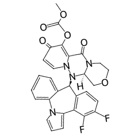 COC(=O)Oc1c2n(ccc1=O)N([C@@H]1c3ccccc3-n3cccc3-c3c1ccc(F)c3F)[C@@H]1COCCN1C2=O